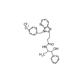 CC(NC(=O)CCc1nc2cccnc2n1Cc1ccc(OC(F)(F)F)cc1)C(O)c1ccccc1